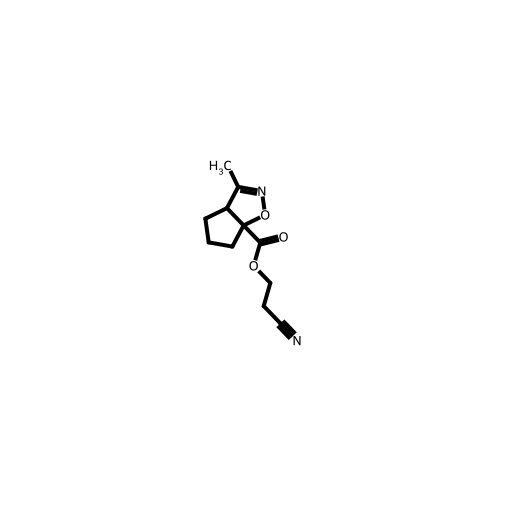 CC1=NOC2(C(=O)OCCC#N)CCCC12